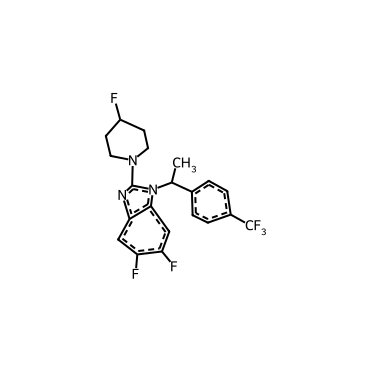 CC(c1ccc(C(F)(F)F)cc1)n1c(N2CCC(F)CC2)nc2cc(F)c(F)cc21